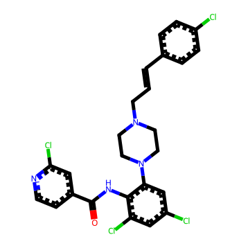 O=C(Nc1c(Cl)cc(Cl)cc1N1CCN(C/C=C/c2ccc(Cl)cc2)CC1)c1ccnc(Cl)c1